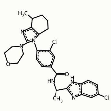 CC1CCCc2c1nc(N1CCOCC1)n2-c1ccc(C(=O)N[C@@H](C)c2nc3cc(Cl)ccc3[nH]2)cc1Cl